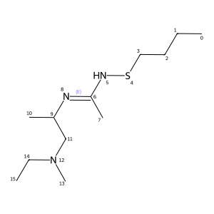 CCCCSN/C(C)=N/C(C)CN(C)CC